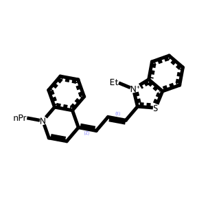 CCCN1C=C/C(=C/C=C/c2sc3ccccc3[n+]2CC)c2ccccc21